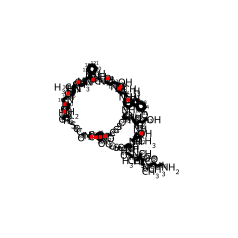 CC(C)[C@@H]1NC(=O)[C@H](Cc2c[nH]c3ccccc23)NC(=O)[C@@H]2CSCCC(=O)N3CC45CN(C[C@@]4(CN(C5)C(=O)CCSC[C@H](NC(=O)[C@H](C)NC(C)(C)C(=O)CN(C)C(C)(C)C(=O)CCN)C(=O)N[C@@H]([C@@H](C)O)C(=O)N[C@@H](CCC(=O)O)C(=O)N2)C3)C(=O)CCSC[C@@H](C(N)=O)NC(=O)[C@@H]2CCCN2C(=O)[C@H](C(C)C)NC(=O)[C@H](Cc2c[nH]c3ccccc23)NC(=O)CNC(=O)[C@H](CC(=O)O)NC1=O